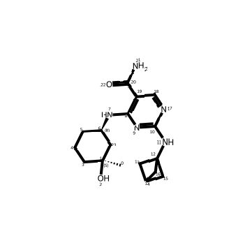 C[C@]1(O)CCC[C@@H](Nc2nc(NC34CC(C3)C4)ncc2C(N)=O)C1